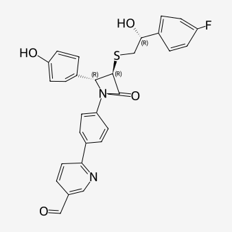 O=Cc1ccc(-c2ccc(N3C(=O)[C@H](SC[C@H](O)c4ccc(F)cc4)[C@H]3c3ccc(O)cc3)cc2)nc1